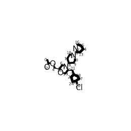 CC(=O)OC[C@H]1CN(C2CCN(c3ccccn3)CC2)[C@@H](Cc2ccc(Cl)cc2)CO1